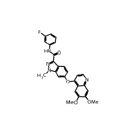 COc1cc2nccc(Oc3ccc4c(C(=O)Nc5cccc(F)c5)nn(C)c4c3)c2cc1OC